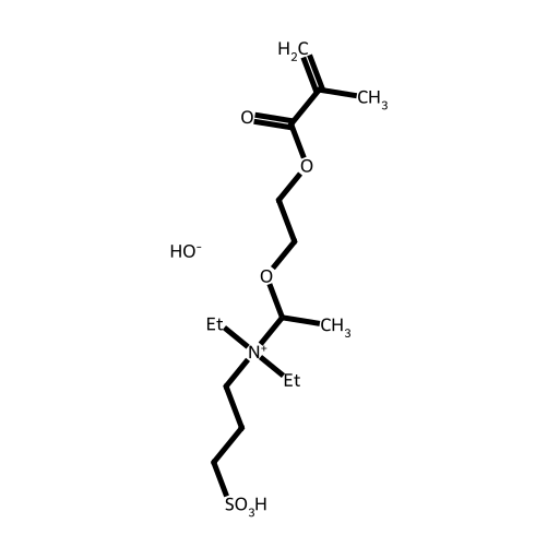 C=C(C)C(=O)OCCOC(C)[N+](CC)(CC)CCCS(=O)(=O)O.[OH-]